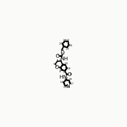 O=C(NC1CCOc2cc(C(=O)Nc3ccncc3)ccc21)OCc1ccccc1